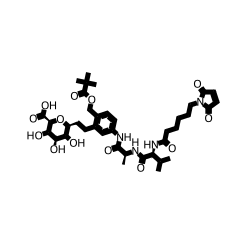 CC(C)[C@H](NC(=O)CCCCCN1C(=O)C=CC1=O)C(=O)N[C@@H](C)C(=O)Nc1ccc(COC(=O)C(C)(C)C)c(CC[C@@H]2O[C@H](C(=O)O)C(O)[C@H](O)C2O)c1